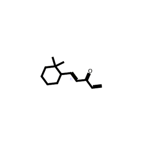 C=CC(=O)/C=C/C1CCCCC1(C)C